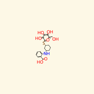 O=C(O)c1ccccc1NC1CCCC(S[C@@H]2O[C@H](CO)[C@H](O)[C@H](O)[C@H]2O)C1